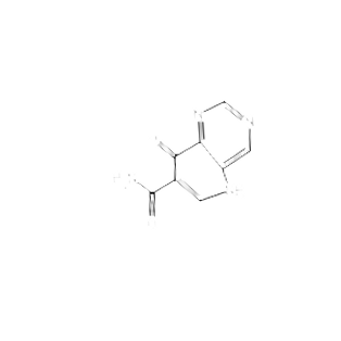 NC(=O)c1c[nH]c2cncnc2c1=O